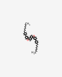 CCCCCCCCc1ccc(-c2ccc3oc4ccc5c(ccc6oc7ccc(-c8ccc(CCCCCCCC)cc8)cc7c65)c4c3c2)cc1